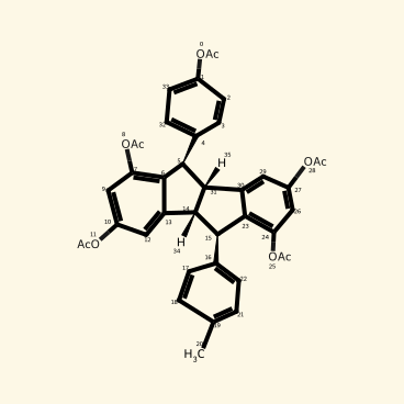 CC(=O)Oc1ccc([C@@H]2c3c(OC(C)=O)cc(OC(C)=O)cc3[C@H]3[C@H](c4ccc(C)cc4)c4c(OC(C)=O)cc(OC(C)=O)cc4[C@@H]23)cc1